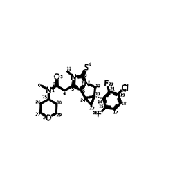 CN(C(=O)Cc1c2n(c(=S)n1C)C[C@@]1(c3c(F)ccc(Cl)c3F)CC21)C1CCOCC1